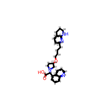 O=C(O)C(c1cccc2ncccc12)N1CCC(OCCCCc2ccc3c(n2)NCCC3)C1